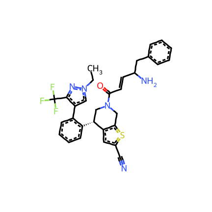 CCn1cc(-c2ccccc2[C@@H]2CN(C(=O)/C=C/C(N)Cc3ccccc3)Cc3sc(C#N)cc32)c(C(F)(F)F)n1